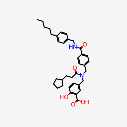 CCCCCc1ccc(CNC(=O)c2ccc(CN(Cc3ccc(O)c(C(=O)O)c3)C(=O)CCC3CCCC3)cc2)cc1